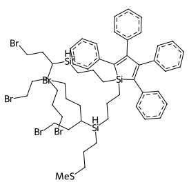 CSCCC[SiH](CCC[Si]1(CCC[SiH2]C(CCBr)C(CCBr)CCCBr)C(c2ccccc2)=C(c2ccccc2)C(c2ccccc2)=C1c1ccccc1)C(CCBr)CCCBr